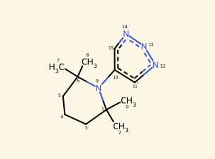 CC1(C)CCCC(C)(C)N1c1[c]nnnc1